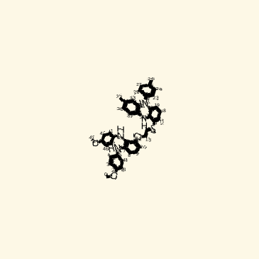 COc1ccc(Nc2cccc(OCCSc3cccc(Nc4ccc(C)cc4)c3Nc3ccc(C)cc3)c2Nc2ccc(OC)cc2)cc1